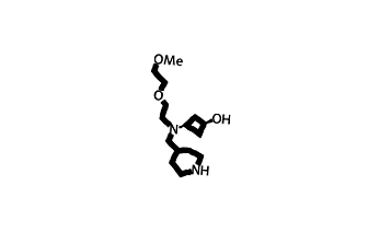 COCCOCCN(CC1CCNCC1)[C@H]1C[C@H](O)C1